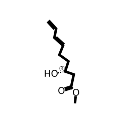 C=CC=CCC[C@@H](O)CC(=O)OC